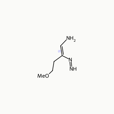 COCC/C(=C/N)N=N